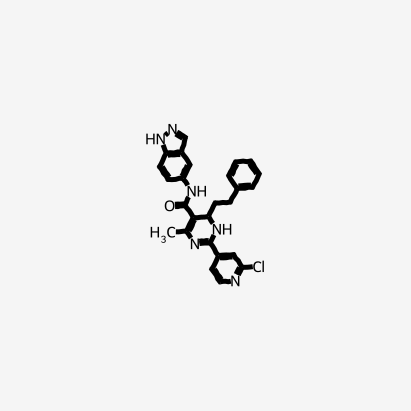 CC1=C(C(=O)Nc2ccc3[nH]ncc3c2)C(CCc2ccccc2)NC(c2ccnc(Cl)c2)=N1